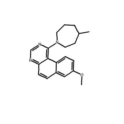 [CH2]C1CCCN(c2ncnc3c[c]c4cc(OC)ccc4c23)CC1